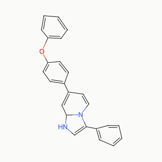 C1=CN2C(c3ccccc3)=CNC2C=C1c1ccc(Oc2ccccc2)cc1